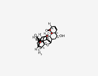 C[C@@]12C[C@@H]3OC(=O)[C@@H]1COC14O[C@]5(C2C1=O)[C@@](O)(CCC1C4C[C@@H](O)[C@@]24C=C[C@@H](OO2)C(=O)[C@]14C)C(=O)O[C@@]35C